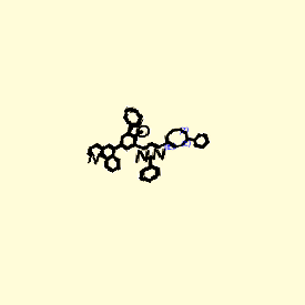 C1=C/C(c2ccccc2)=C\C=C(\c2cc(-c3cc(-c4cc5cccnc5c5ccccc45)cc4c3oc3ccccc34)nc(-c3ccccc3)n2)CC\1